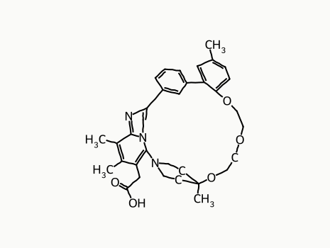 Cc1ccc2c(c1)-c1cccc(c1)-c1cn3c(c(CC(=O)O)c(C)c(C)c3n1)N1CCC(C)(CC1)OCCOCCO2